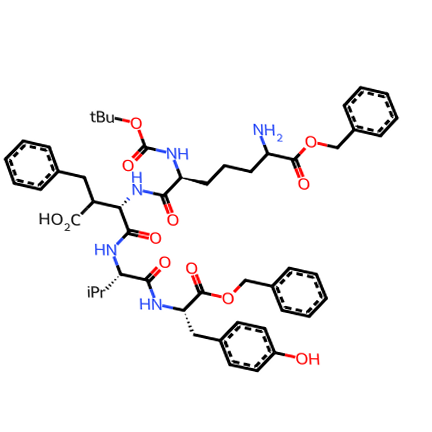 CC(C)[C@H](NC(=O)[C@@H](NC(=O)[C@H](CCCC(N)C(=O)OCc1ccccc1)NC(=O)OC(C)(C)C)C(Cc1ccccc1)C(=O)O)C(=O)N[C@@H](Cc1ccc(O)cc1)C(=O)OCc1ccccc1